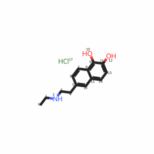 CCNCCc1ccc2c(O)c(O)ccc2c1.Cl